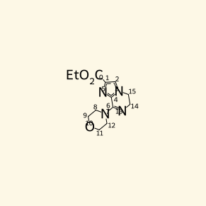 CCOC(=O)c1cn2c(n1)C(N1CCOCC1)=NCC2